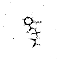 C=C(C)C(=O)OC(C)(C)OC(=O)c1ccccc1S(=O)(=O)O